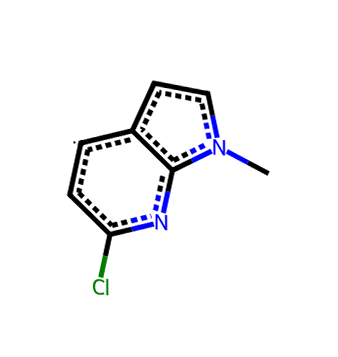 Cn1ccc2[c]cc(Cl)nc21